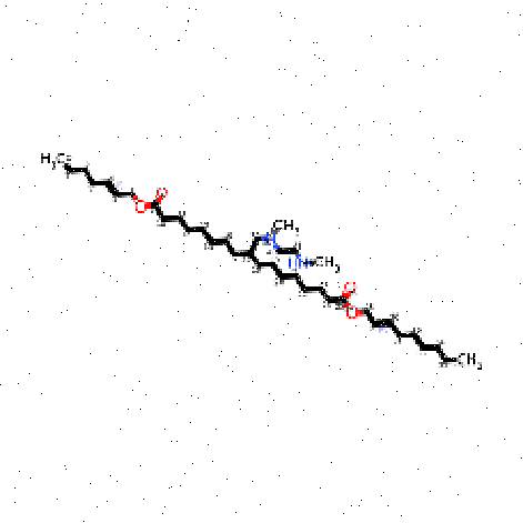 CCCC/C=C/COC(=O)CCCCCCCC(CCCCCCCC(=O)OC/C=C/CCCCCC)CN(C)CCNC